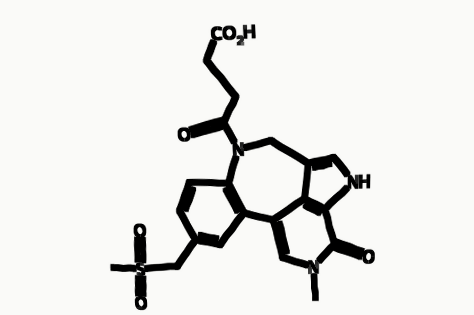 Cn1cc2c3c(c[nH]c3c1=O)CN(C(=O)CCC(=O)O)c1ccc(CS(C)(=O)=O)cc1-2